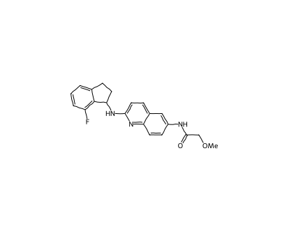 COCC(=O)Nc1ccc2nc(NC3CCc4cccc(F)c43)ccc2c1